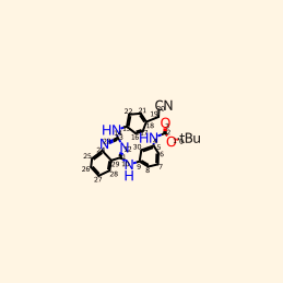 CC(C)(C)OC(=O)Nc1cccc(Nc2nc(Nc3ccc(CC#N)cc3)nc3ccccc23)c1